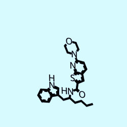 CCCCC(Cc1c[nH]c2ccccc12)NC(=O)c1cc2ccc(N3CCOCC3)nc2s1